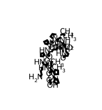 CC[C@H](C)[C@H](NC(=O)[C@H](CCCCN)NC(=O)[C@@H]1CCCN1C(=O)[C@H](CCCNC(=N)N)NC(=O)[C@@H]1CCCN1C(=O)[C@@H]1CCCN1C(=O)[C@H](CC(C)C)NC(=O)CNC(=O)[C@@H]1CCC(=O)N1)C(=O)N1CCC[C@H]1C(=O)N1CCC[C@H]1C(=O)O